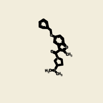 Cc1oc2ccc(OCc3ccccc3)cc2c1C(=O)N1CCC(N(C)C)C1